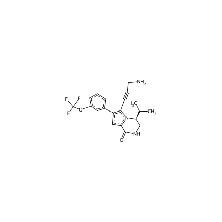 CC(C)[C@H]1CNC(=O)c2cc(-c3cccc(OC(F)(F)F)c3)c(C#CCN)n21